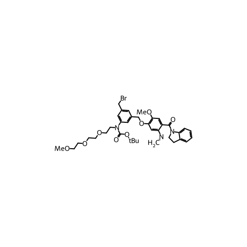 C=Nc1cc(OCc2cc(CBr)cc(N(CCOCCOCCOC)C(=O)OC(C)(C)C)c2)c(OC)cc1C(=O)N1CCc2ccccc21